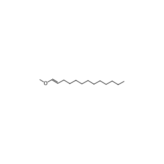 CCCCCCCCCCCC=COC